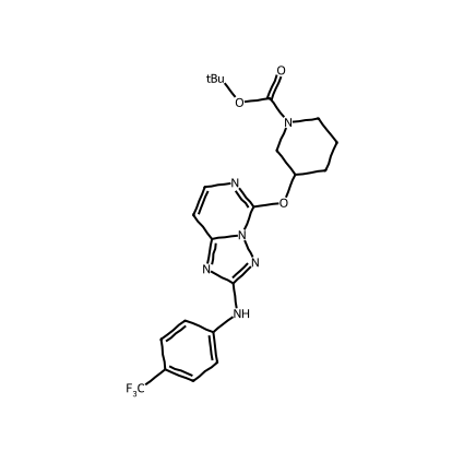 CC(C)(C)OC(=O)N1CCCC(Oc2nccc3nc(Nc4ccc(C(F)(F)F)cc4)nn23)C1